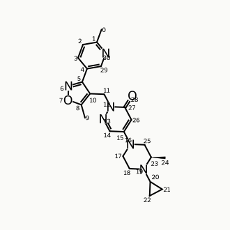 Cc1ccc(-c2noc(C)c2Cn2ncc(N3CCN(C4CC4)[C@H](C)C3)cc2=O)cn1